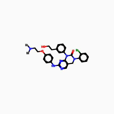 CCN(CC)CCOc1ccc(Nc2ncc3c(n2)N(c2cccc(CCO)c2)C(=O)N(c2ccccc2Br)C3)cc1